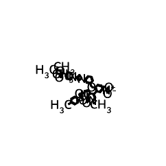 Cc1ccc(S(=O)(=O)n2ccc3c(-c4cc([N+](=O)[O-])ccc4Oc4cccc(N5CC(N6CCN(C(=O)OC(C)(C)C)CC6)C5)c4)cn(C)c(=O)c32)cc1